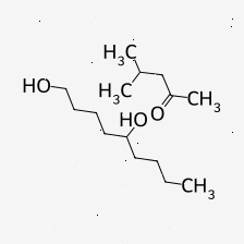 CC(=O)CC(C)C.CCCCC(O)CCCCO